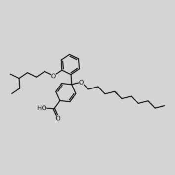 CCCCCCCCCCOC1(c2ccccc2OCCCC(C)CC)C=CC(C(=O)O)C=C1